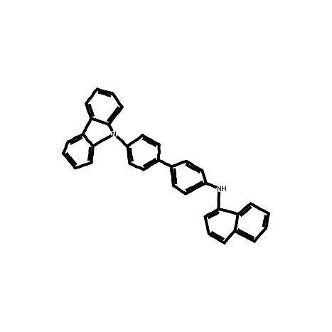 c1ccc2c(Nc3ccc(-c4ccc(-n5c6ccccc6c6ccccc65)cc4)cc3)cccc2c1